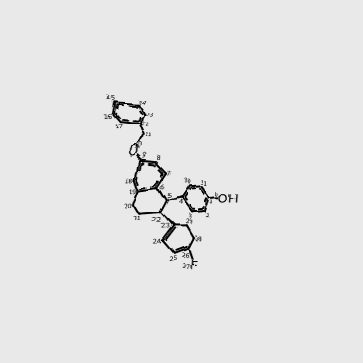 Oc1ccc([C@@H]2c3ccc(OCc4ccccc4)cc3CC[C@@H]2C2=CC=C(F)CC2)cc1